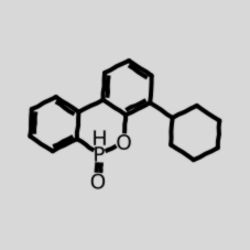 O=[PH]1Oc2c(cccc2C2CCCCC2)-c2ccccc21